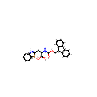 O=C(NC(Cc1nc2ccccc2s1)C(=O)O)OCC1c2ccccc2-c2ccccc21